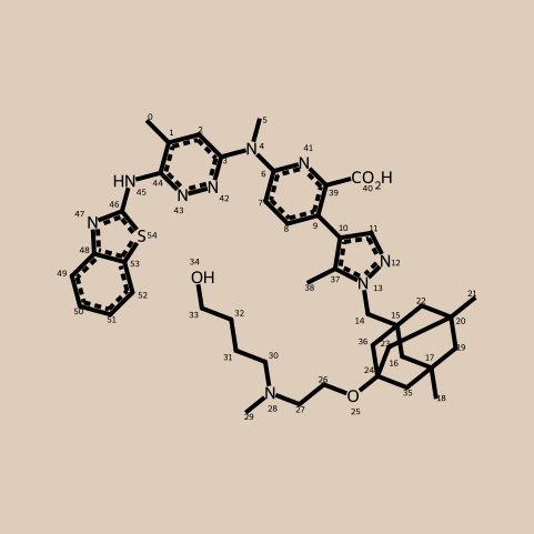 Cc1cc(N(C)c2ccc(-c3cnn(CC45CC6(C)CC(C)(C4)CC(OCCN(C)CCCCO)(C6)C5)c3C)c(C(=O)O)n2)nnc1Nc1nc2ccccc2s1